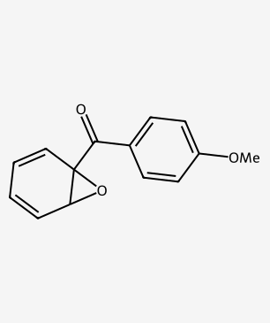 COc1ccc(C(=O)C23C=CC=CC2O3)cc1